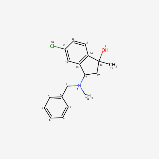 CN(Cc1ccccc1)C1CC(C)(O)c2ccc(Cl)cc21